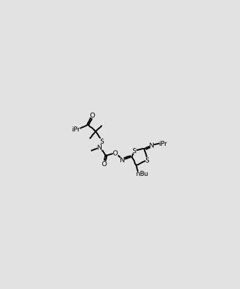 CCCCC1SC(=NC(C)C)SC1=NOC(=O)N(C)SC(C)(C)C(=O)C(C)C